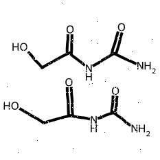 NC(=O)NC(=O)CO.NC(=O)NC(=O)CO